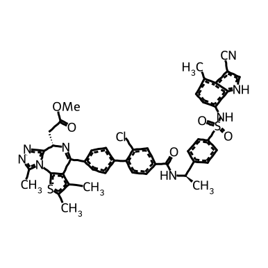 COC(=O)C[C@@H]1N=C(c2ccc(-c3ccc(C(=O)N[C@H](C)c4ccc(S(=O)(=O)Nc5ccc(C)c6c(C#N)c[nH]c56)cc4)cc3Cl)cc2)c2c(sc(C)c2C)-n2c(C)nnc21